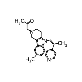 CC(=O)CN1CCc2c(c3cc(C)ccc3n2/C=C(/C)c2ccncc2)C1